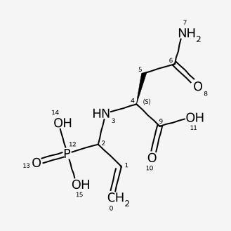 C=CC(N[C@@H](CC(N)=O)C(=O)O)P(=O)(O)O